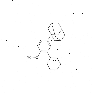 N#COc1ccc(C23CC4CC(CC(C4)C2)C3)cc1C1CCCCC1